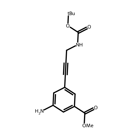 COC(=O)c1cc(N)cc(C#CCNC(=O)OC(C)(C)C)c1